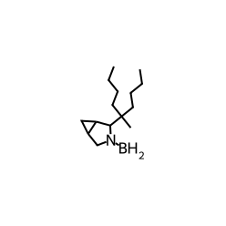 BN1CC2CC2C1C(C)(CCCC)CCCC